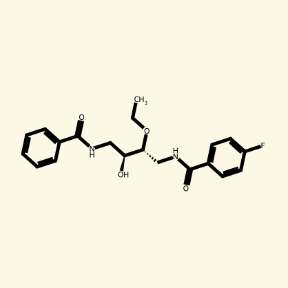 CCO[C@H](CNC(=O)c1ccc(F)cc1)[C@@H](O)CNC(=O)c1ccccc1